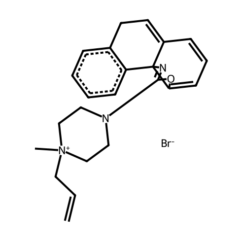 C=CC[N+]1(C)CCN(C2=NC34C(=CCc5ccccc53)C=CC=C4O2)CC1.[Br-]